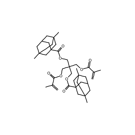 C=C(C)C(=O)OCC(COC(=O)C(=C)C)(COC(=O)C12CC3CC(C)(CC(C)(C3)C1)C2)COC(=O)C12CC3CC(C)(CC(C)(C3)C1)C2